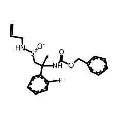 C=CCN[S+]([O-])CC(C)(NC(=O)OCc1ccccc1)c1ccccc1F